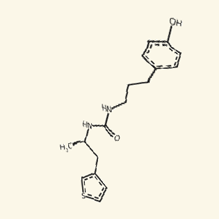 C[C@H](Cc1ccsc1)NC(=O)NCCCc1ccc(O)cc1